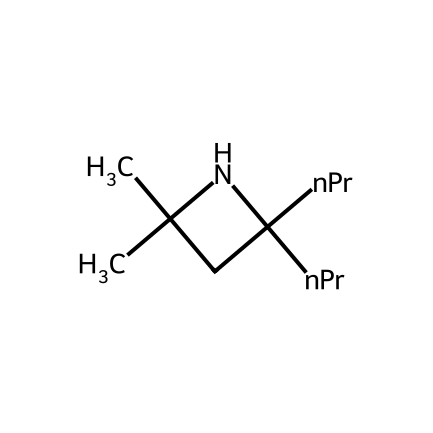 CCCC1(CCC)CC(C)(C)N1